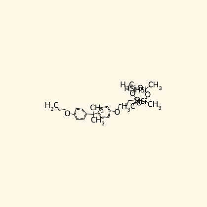 C=CCOc1ccc(C(C)(C)c2ccc(OCCC[Si]3(C)O[SiH](C)O[SiH](C)O[SiH](C)O3)cc2)cc1